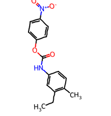 CCc1cc(NC(=O)Oc2ccc([N+](=O)[O-])cc2)ccc1C